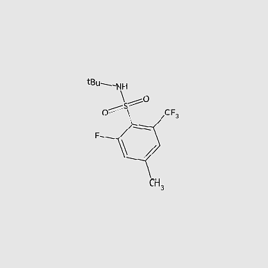 Cc1cc(F)c(S(=O)(=O)NC(C)(C)C)c(C(F)(F)F)c1